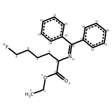 CCOC(=O)C(CCCCF)N=C(c1ccccc1)c1ccccc1